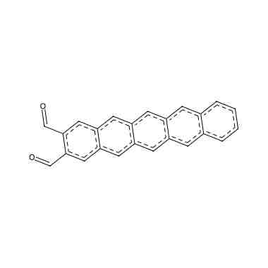 O=Cc1cc2cc3cc4cc5ccccc5cc4cc3cc2cc1C=O